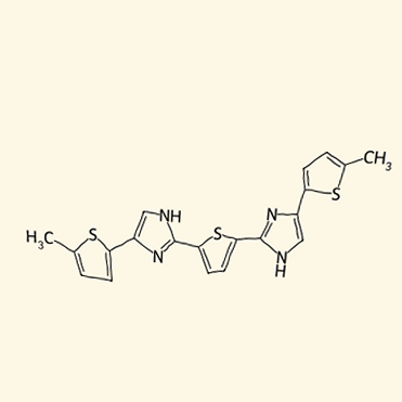 Cc1ccc(-c2c[nH]c(-c3ccc(-c4nc(-c5ccc(C)s5)c[nH]4)s3)n2)s1